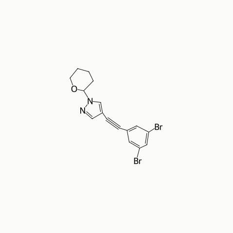 Brc1cc(Br)cc(C#Cc2cnn(C3CCCCO3)c2)c1